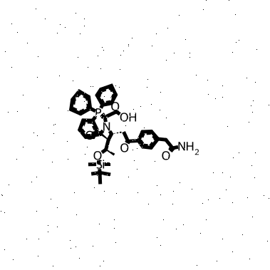 C[C@@H](O[Si](C)(C)C(C)(C)C)[C@H]1C(=O)N(C(C(=O)O)=P(c2ccccc2)(c2ccccc2)c2ccccc2)[C@@H]1CC(=O)c1ccc(CC(N)=O)cc1